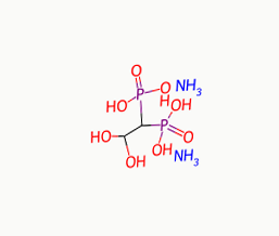 N.N.O=P(O)(O)C(C(O)O)P(=O)(O)O